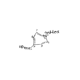 CCCCCC[n+]1ccc(CCCCC)cc1